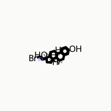 C[C@@H]1Cc2cc(O)ccc2[C@H]2CC[C@@]3(C)[C@@H](CC[C@@]3(O)/C=C/Br)[C@H]12